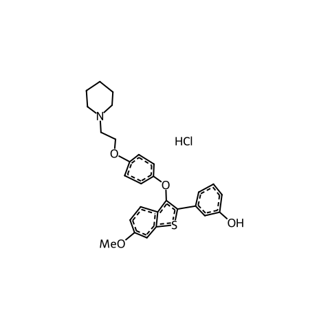 COc1ccc2c(Oc3ccc(OCCN4CCCCC4)cc3)c(-c3cccc(O)c3)sc2c1.Cl